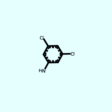 [NH]c1cc(Cl)cc(Cl)c1